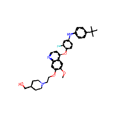 COc1cc2c(Oc3ccc(Nc4ccc(C(C)(C)C)cc4)cc3F)ccnc2cc1OCCN1CCC(CO)CC1